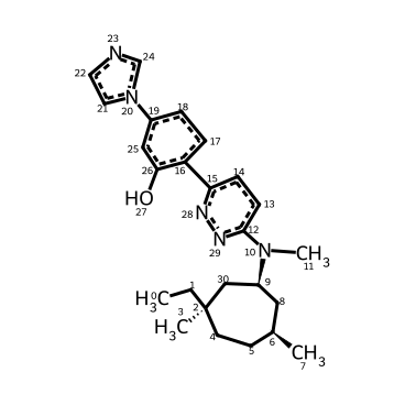 CC[C@]1(C)CC[C@H](C)C[C@H](N(C)c2ccc(-c3ccc(-n4ccnc4)cc3O)nn2)C1